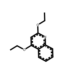 CCOc1cc(OCC)c2ccccc2n1